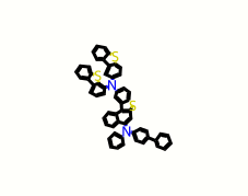 c1ccc(-c2ccc(N(c3ccccc3)c3cc4sc5ccc(N(c6ccc7sc8ccccc8c7c6)c6cccc7c6sc6ccccc67)cc5c4c4ccccc34)cc2)cc1